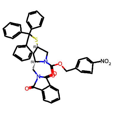 O=C1c2ccccc2C(=O)N1C[C@@H]1C[C@H](SC(c2ccccc2)(c2ccccc2)c2ccccc2)CN1C(=O)OCc1ccc([N+](=O)[O-])cc1